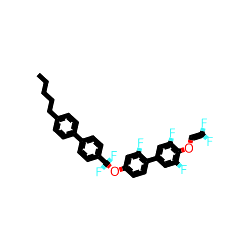 CCCCCc1ccc(-c2ccc(C(F)(F)Oc3ccc(-c4cc(F)c(OC=C(F)F)c(F)c4)c(F)c3)cc2)cc1